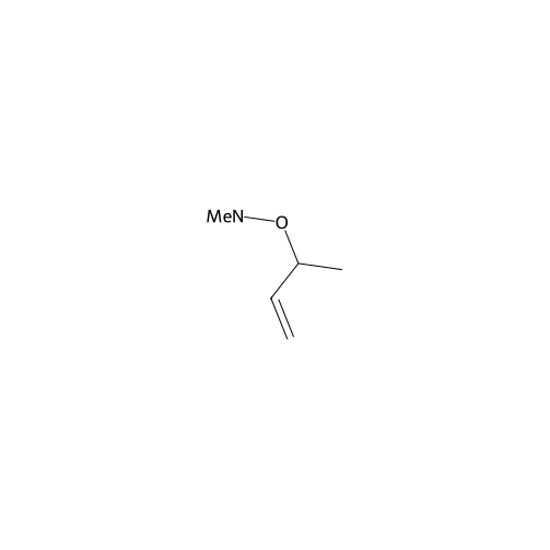 C=CC(C)ONC